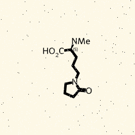 CN[C@@H](CCCN1CCCC1=O)C(=O)O